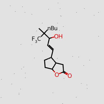 CCCCC(C)(C(O)/C=C/C1CCC2OC(=O)CC12)C(F)(F)F